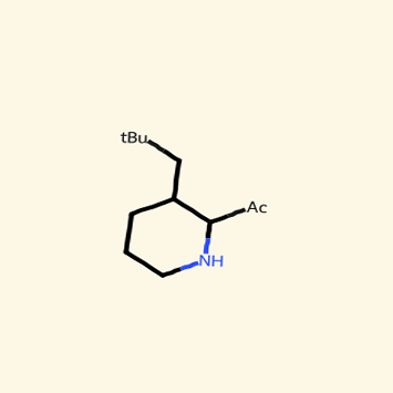 CC(=O)C1NCCCC1CC(C)(C)C